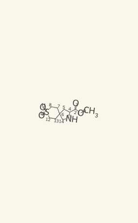 COC(=O)C1CC2(CCS(=O)(=O)CC2)CN1